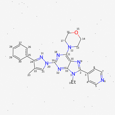 CCn1c(-c2ccncc2)nc2c(N3CCOCC3)nc(-n3cc(C)c(-c4ccccc4)n3)nc21